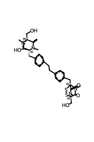 C=C1N(C)[C@@]2(Cc3ccc(CCc4ccc(C[C@@]56SS[C@@](CO)(C(=O)N5C)N(C)C6=O)cc4)cc3)SS[C@]1(CO)N(C)C2O